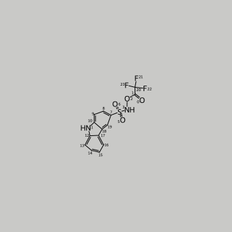 O=C(ONS(=O)(=O)c1ccc2[nH]c3ccccc3c2c1)C(F)(F)F